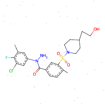 Cc1ccc(C(=O)N(N)c2cc(C)c(F)c(Cl)c2)cc1S(=O)(=O)N1CCC(CCO)CC1